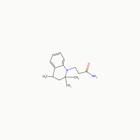 CC1CC(C)(C)N(CCC(N)=O)c2ccccc21